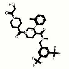 Cc1ccccc1[C@H]1CN(C(=O)C2CCN(C(=O)CO)CC2)CCC1C(=O)N(C)Cc1cc(C(F)(F)F)cc(C(F)(F)F)c1